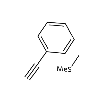 C#Cc1ccccc1.CSC